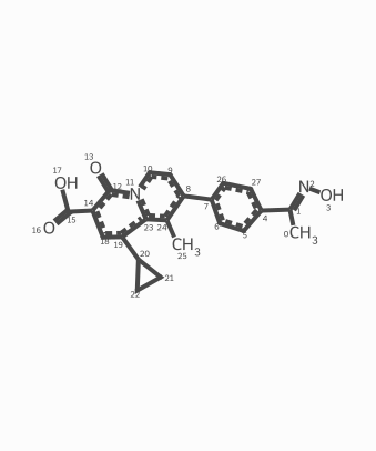 CC(=NO)c1ccc(-c2ccn3c(=O)c(C(=O)O)cc(C4CC4)c3c2C)cc1